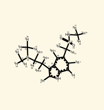 [2H]c1[nH]c2c([2H])c([2H])c(C([2H])([2H])S(=O)(=O)NC([2H])([2H])[2H])c([2H])c2c1C([2H])([2H])C([2H])([2H])N(C([2H])([2H])[2H])C([2H])([2H])[2H]